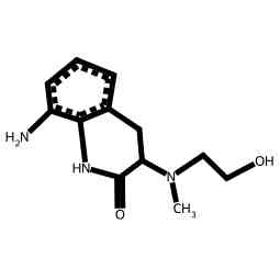 CN(CCO)C1Cc2cccc(N)c2NC1=O